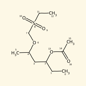 CCC(CC(C)OCS(=O)(=O)CC)OC(C)=O